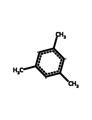 Cc1[c]c(C)[c]c(C)[c]1